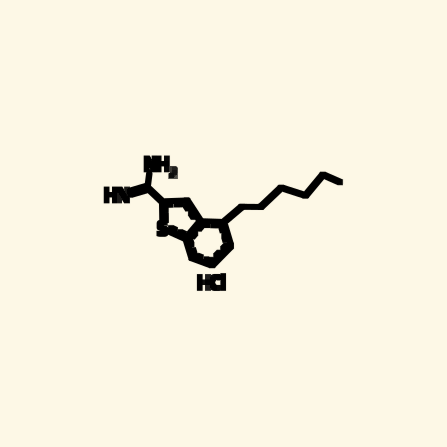 CCCCCCc1cccc2sc(C(=N)N)cc12.Cl